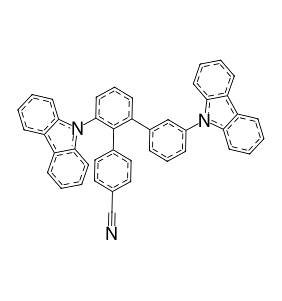 N#Cc1ccc(-c2c(-c3cccc(-n4c5ccccc5c5ccccc54)c3)cccc2-n2c3ccccc3c3ccccc32)cc1